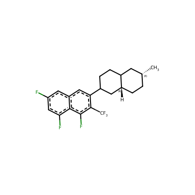 C[C@@H]1CC[C@@H]2CC(c3cc4cc(F)cc(F)c4c(F)c3C(F)(F)F)CCC2C1